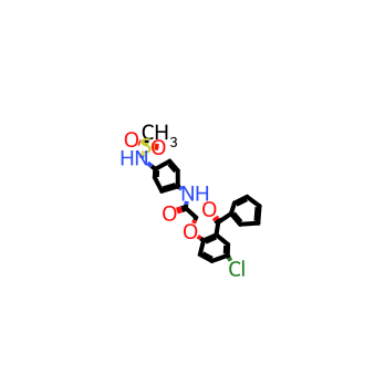 CS(=O)(=O)Nc1ccc(NC(=O)COc2ccc(Cl)cc2C(=O)c2ccccc2)cc1